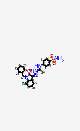 NS(=O)(=O)c1ccc(NC(=S)NN=C2C(=O)N(Cc3ccccc3)c3c(F)cccc32)cc1